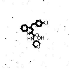 O=C(N[C@H]1CCOC[C@@H]1O)c1cc(Cc2ccc(Cl)cc2)c2ccccc2n1